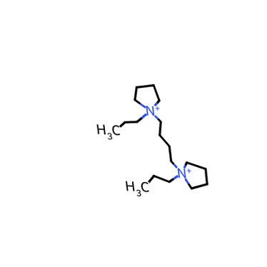 CCC[N+]1(CCCC[N+]2(CCC)CCCC2)CCCC1